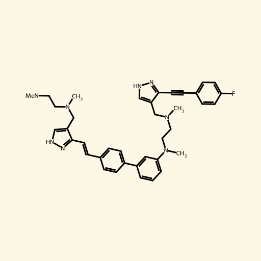 CNCCN(C)Cc1c[nH]nc1/C=C/c1ccc(-c2cccc(N(C)CCN(C)Cc3c[nH]nc3C#Cc3ccc(F)cc3)c2)cc1